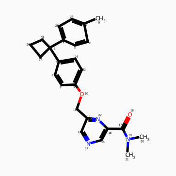 Cc1ccc(C2(c3ccc(OCc4cncc(C(=O)N(C)C)n4)cc3)CCC2)cc1